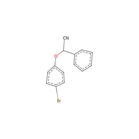 N#CC(Oc1ccc(Br)cc1)c1ccccc1